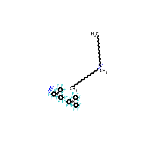 CCCCCCCCCCCCCCCCCC[NH+](C)CCCCCCCCCCCCCCCCCC.Fc1c(F)c(F)c(B(c2c(F)c(F)c(F)c(F)c2F)c2c(F)c(F)c(F)c(F)c2F)c(F)c1F.Fc1c(F)c(F)c(B(c2c(F)c(F)c(F)c(F)c2F)c2c(F)c(F)c(F)c(F)c2F)c(F)c1F.[N-]=[N+]=[N-]